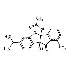 CC(=O)NC12Oc3cc(C(C)C)ccc3C1(O)C(=O)c1c(N)cccc12